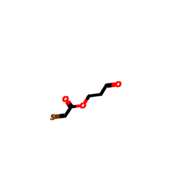 O=CCCOC(=O)C=S